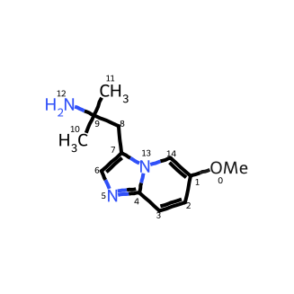 COc1ccc2ncc(CC(C)(C)N)n2c1